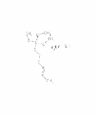 CC=NCCC[Si](OC)(OC)OC.Cl.Cl.N